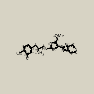 COCc1nc(NC[C@@H](N)Cc2ccc(Cl)c(Cl)c2)sc1-c1nc2ccncc2s1